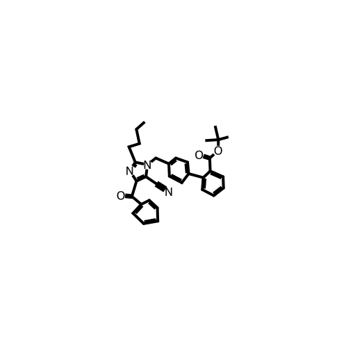 CCCCc1nc(C(=O)c2ccccc2)c(C#N)n1Cc1ccc(-c2ccccc2C(=O)OC(C)(C)C)cc1